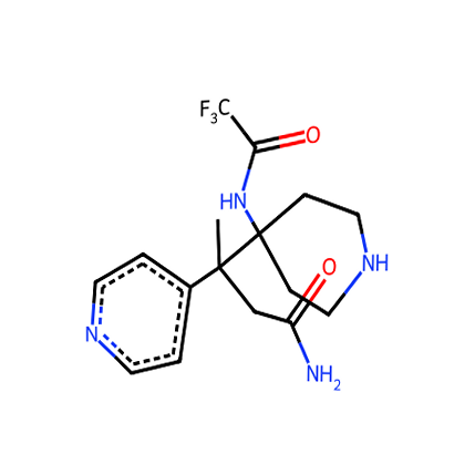 CC(CC(N)=O)(c1ccncc1)C1(NC(=O)C(F)(F)F)CCNCC1